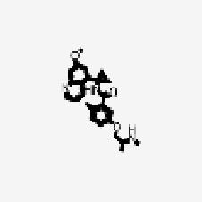 CNC(C)COc1ccc(C)c(C(=O)NC2(c3cc(OC)cc4ncccc34)CC2)c1